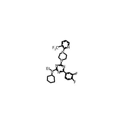 CCN(c1nc(-c2ccc(F)c(F)c2)nc(N2CCN(c3ncccc3C(F)(F)F)CC2)n1)C1CCCCC1